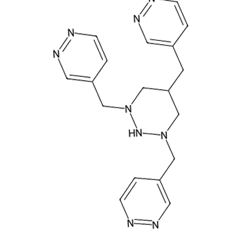 c1cc(CC2CN(Cc3ccnnc3)NN(Cc3ccnnc3)C2)cnn1